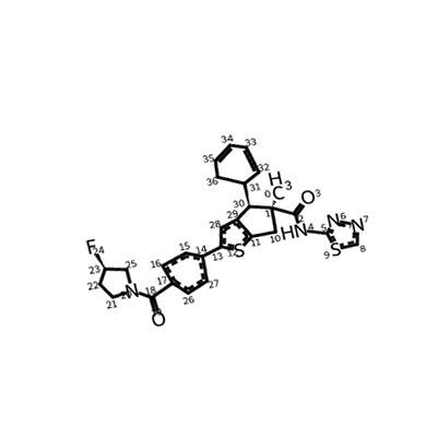 C[C@]1(C(=O)Nc2nncs2)Cc2sc(-c3ccc(C(=O)N4CC[C@@H](F)C4)cc3)cc2[C@H]1C1C=CC=CC1